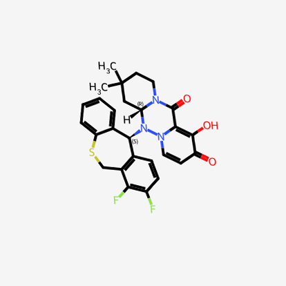 CC1(C)CCN2C(=O)c3c(O)c(=O)ccn3N([C@@H]3c4ccccc4SCc4c3ccc(F)c4F)[C@@H]2C1